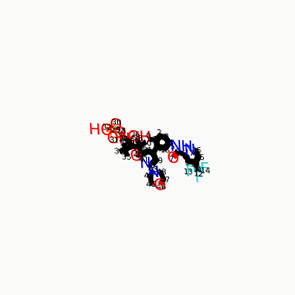 Cc1ccc(NC(=O)c2cc(C(F)(F)F)ccn2)cc1-c1cc(OC([C@H](O)COP(=O)(O)O)(C(C)(C)C)C(C)(C)C)nc(N2CCOCC2)c1